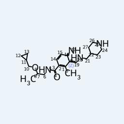 CC1=C(C(=O)NCC(C)OCC2CC2)C=CC(=N)/C1=C\NCC1CCNCC1